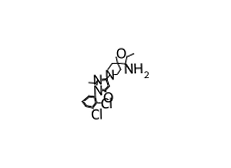 Cc1nc(N2CCC3(CC2)COC(C)C3N)cc(=O)n1-c1cccc(Cl)c1Cl